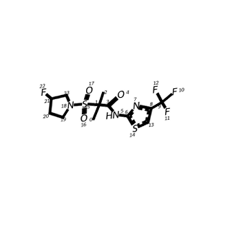 CC(C)(C(=O)Nc1nc(C(F)(F)F)cs1)S(=O)(=O)N1CCC(F)C1